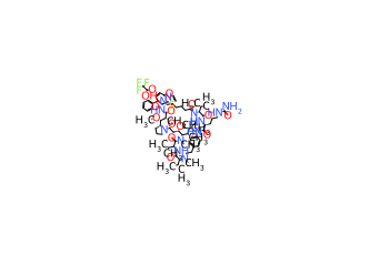 CC[C@H](C)[C@@H]([C@@H](CC(=O)N1CCC[C@H]1[C@H](OC)[C@@H](C)C(=O)N[C@@H](Cc1ccccc1)c1nccs1)OC)N(C)C(=O)[C@@H](NC(=O)C(C(C)C)N(C)CCc1ccc(NC(=O)[C@H](CCCNC(N)=O)NC(=O)[C@@H](NC(=O)CCCCCN2C(=O)C=CC2=O)C(C)C)cc1)C(C)C.O=C(O)C(F)(F)F